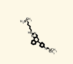 CN(C)/C=N/c1ccc(C2Cc3cnc(NCCCCCN(C)C)nc3-c3ccccc32)cc1